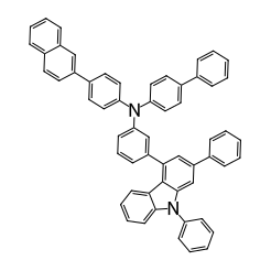 c1ccc(-c2ccc(N(c3ccc(-c4ccc5ccccc5c4)cc3)c3cccc(-c4cc(-c5ccccc5)cc5c4c4ccccc4n5-c4ccccc4)c3)cc2)cc1